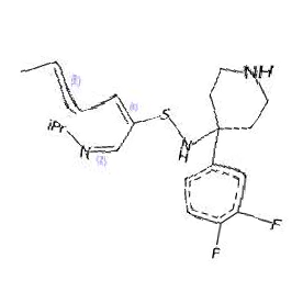 C/C=C/C=C(\C=N/C(C)C)SNC1(c2ccc(F)c(F)c2)CCNCC1